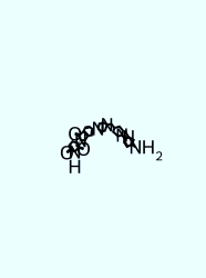 Nc1ccc(N2CCC(CN3CCN(c4ccc5c(c4)CN([C@H]4CCC(=O)NC4=O)C5=O)CC3)CC2)nc1